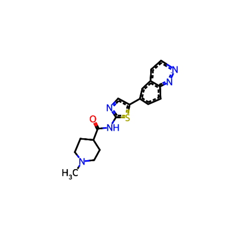 CN1CCC(C(=O)Nc2ncc(-c3ccc4nnccc4c3)s2)CC1